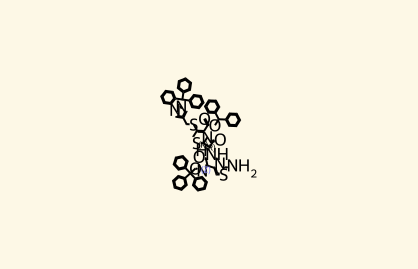 Nc1nc(/C(=N/OC(c2ccccc2)(c2ccccc2)c2ccccc2)C(=O)N[C@@H]2C(=O)N3C(C(=O)OC(c4ccccc4)c4ccccc4)=C(SCc4cnn(C(c5ccccc5)(c5ccccc5)c5ccccc5)c4)CS[C@H]23)cs1